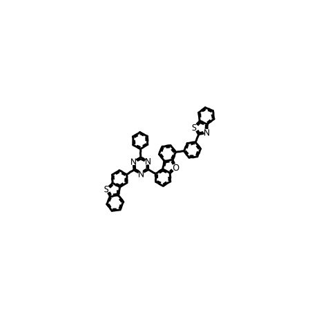 c1ccc(-c2nc(-c3ccc4sc5ccccc5c4c3)nc(-c3cccc4oc5c(-c6cccc(-c7nc8ccccc8s7)c6)cccc5c34)n2)cc1